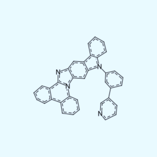 c1cncc(-c2cccc(-n3c4ccccc4c4cc5nc6c7ccccc7c7ccccc7n6c5cc43)c2)c1